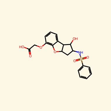 O=C(O)COc1cccc2c1OC1CC(NS(=O)(=O)c3ccccc3)C(O)C21